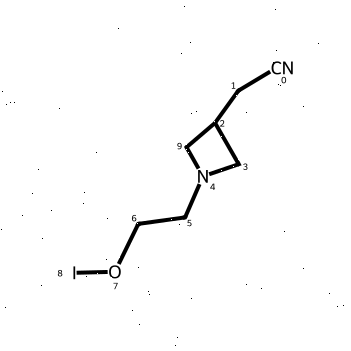 N#CCC1CN(CCOI)C1